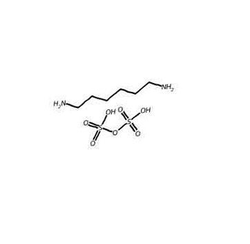 NCCCCCCN.O=S(=O)(O)OS(=O)(=O)O